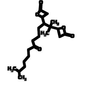 CC(C)CCCCC(=O)CCCC(C1CC(=O)O1)C(C)(C)C1CC(=O)O1